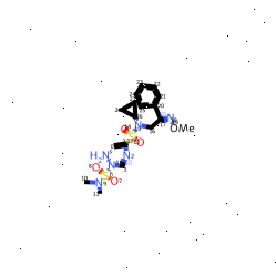 C=C(/N=C\N(N)S(=O)(=O)N(C)C)S(=O)(=O)N(C/C(=N\OC)c1ccccc1)C1CC1